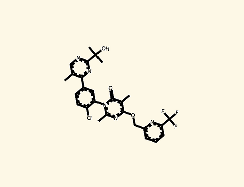 Cc1cnc(C(C)(C)O)nc1-c1ccc(Cl)c(-n2c(C)nc(OCc3cccc(C(F)(F)F)n3)c(C)c2=O)c1